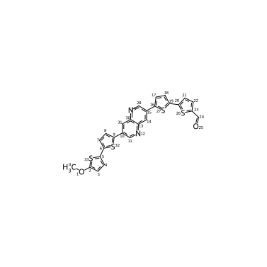 COc1ccc(-c2ccc(-c3cnc4cc(-c5ccc(-c6ccc(C=O)s6)s5)cnc4c3)s2)s1